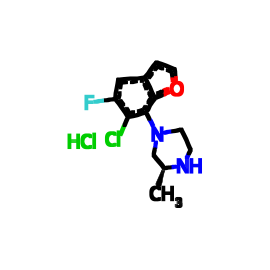 C[C@H]1CN(c2c(Cl)c(F)cc3ccoc23)CCN1.Cl